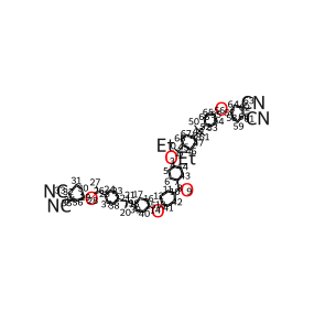 CCC(CC)(Oc1ccc(C(=O)c2ccc(Oc3ccc(C(C)(C)c4ccc(C(C)Oc5ccc(C#N)c(C#N)c5)cc4)cc3)cc2)cc1)c1ccc(C(C)(C)c2ccc(Oc3ccc(C#N)c(C#N)c3)cc2)cc1